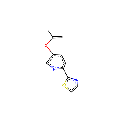 C=C(C)Oc1ccc(-c2nccs2)nc1